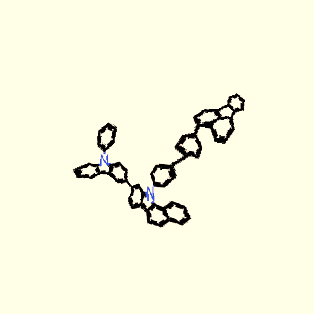 c1ccc(-n2c3ccccc3c3cc(-c4ccc5c6ccc7ccccc7c6n(-c6ccc(-c7ccc(-c8ccc9c%10c(cccc8%10)-c8ccccc8-9)cc7)cc6)c5c4)ccc32)cc1